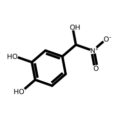 O=[N+]([O-])C(O)c1ccc(O)c(O)c1